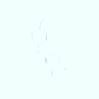 Cc1cc(NC2CCC(C)CC2)ccc1F